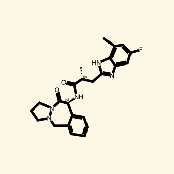 Cc1cc(F)cc2nc(C[C@@H](C)C(=O)N[C@@H]3C(=O)N4CCCN4Cc4ccccc43)[nH]c12